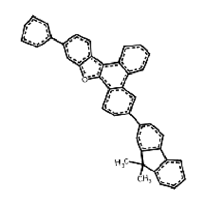 CC1(C)c2ccccc2-c2ccc(-c3ccc4c(c3)c3ccccc3c3c5ccc(-c6ccccc6)cc5oc43)cc21